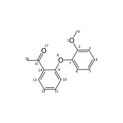 COc1ccccc1Oc1ccccc1C(C)=O